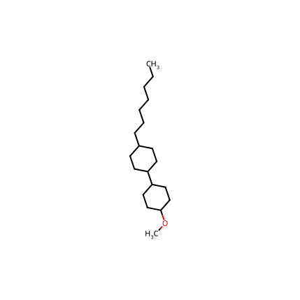 CCCCCCCC1CCC(C2CCC(OC)CC2)CC1